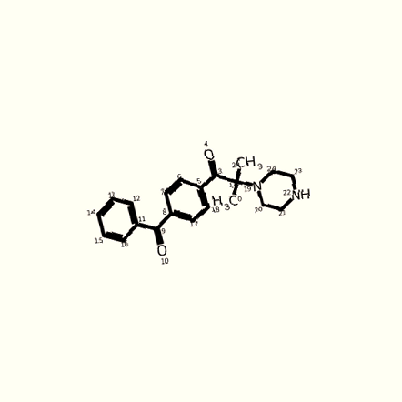 CC(C)(C(=O)c1ccc(C(=O)c2ccccc2)cc1)N1CCNCC1